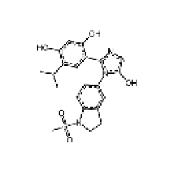 CC(C)c1cc(-c2nnc(O)n2-c2ccc3c(c2)CCN3S(C)(=O)=O)c(O)cc1O